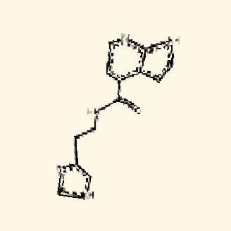 O=C(NCCc1c[nH]cn1)c1ccnc2[nH]ccc12